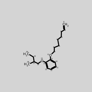 C=CCCCCCCOc1c[c]ccc1OCC(C)CC